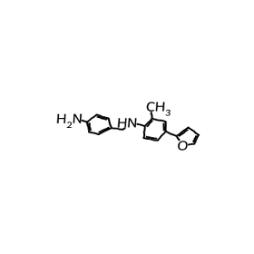 Cc1cc(-c2ccco2)ccc1NCc1ccc(N)cc1